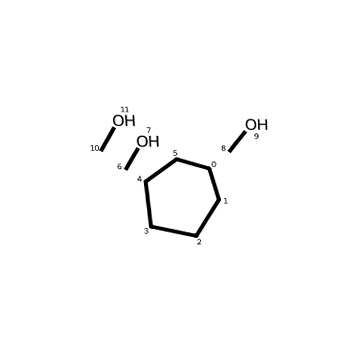 C1CCCCC1.CO.CO.CO